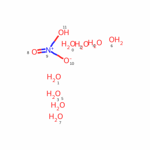 O.O.O.O.O.O.O.O.O=[N+]([O-])O